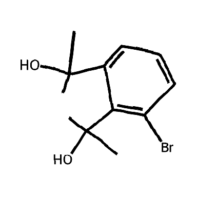 CC(C)(O)c1cccc(Br)c1C(C)(C)O